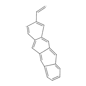 [CH]=Cc1[c]cc2cc3cc4ccccc4cc3cc2c1